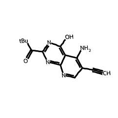 C#Cc1cnc2nc(C(=O)C(C)(C)C)nc(O)c2c1N